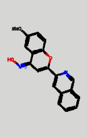 COc1ccc2oc(-c3cc4ccccc4cn3)c/c(=N/O)c2c1